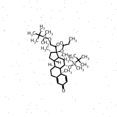 CCC(=O)O[C@]1(C(=O)CO[Si](C)(C)C(C)(C)C)[C@@H](C)C[C@H]2[C@@H]3CCC4=CC(=O)C=C[C@]4(C)C3[C@@H](O[Si](C)(C)C(C)(C)C)C[C@@]21C